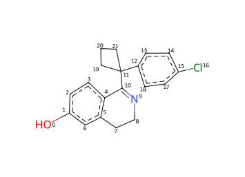 Oc1ccc2c(c1)CCN=C2C1(c2ccc(Cl)cc2)CCC1